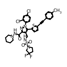 Cc1ccc(C#Cc2ccc(-c3c(CNS(=O)(=O)N4CCC(F)(F)C4)c(C(=O)NN4CCCCC4)nn3-c3ccc(Cl)cc3Cl)s2)cc1